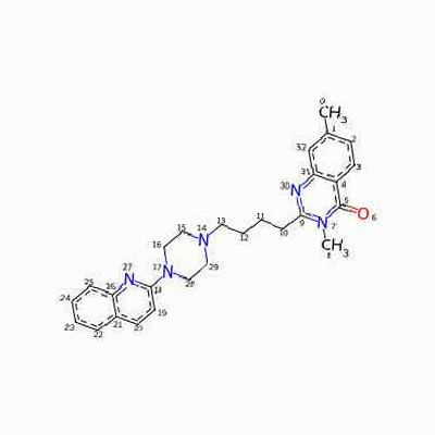 Cc1ccc2c(=O)n(C)c(CCCCN3CCN(c4ccc5ccccc5n4)CC3)nc2c1